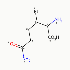 CCC(CCC(N)=O)C(N)C(=O)O